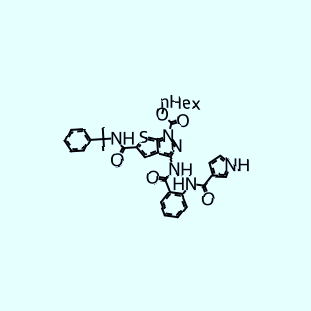 CCCCCCOC(=O)n1nc(NC(=O)c2ccccc2NC(=O)c2cc[nH]c2)c2cc(C(=O)NC(C)(C)c3ccccc3)sc21